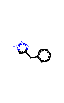 [CH](c1ccccc1)c1c[nH]nn1